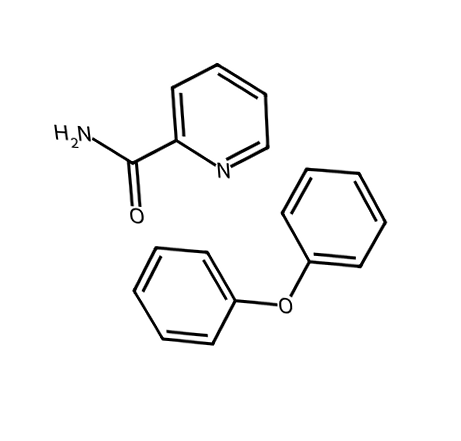 NC(=O)c1ccccn1.c1ccc(Oc2ccccc2)cc1